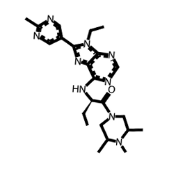 CC[C@@H](Nc1ncnc2c1nc(-c1cnc(C)nc1)n2CC)C(=O)N1CC(C)N(C)C(C)C1